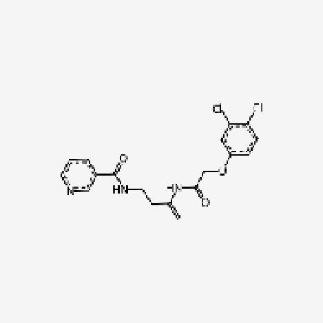 C=C(CCNC(=O)c1cccnc1)NC(=O)COc1ccc(Cl)c(Cl)c1